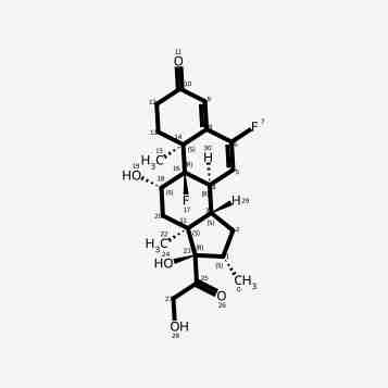 C[C@H]1C[C@H]2[C@@H]3C=C(F)C4=CC(=O)CC[C@]4(C)[C@@]3(F)[C@@H](O)C[C@]2(C)[C@@]1(O)C(=O)CO